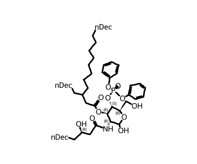 CCCCCCCCCCCCCCCCCCC(CCCCCCCCCCC)CC(=O)O[C@H]1[C@H](OP(=O)(Oc2ccccc2)Oc2ccccc2)[C@@H](CO)OC(O)[C@@H]1NC(=O)C[C@H](O)CCCCCCCCCCC